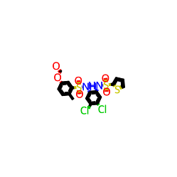 Cc1ccc(OC=O)cc1S(=O)(=O)Nc1cc(Cl)c(Cl)cc1NS(=O)(=O)c1cccs1